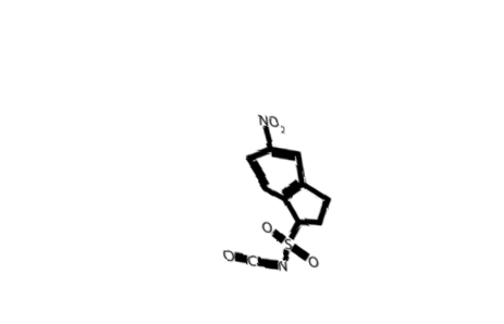 O=C=NS(=O)(=O)C1CCc2cc([N+](=O)[O-])ccc21